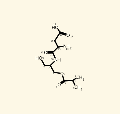 CC(C)C(=O)OCC(CO)NC(=O)C(N)CC(=O)O